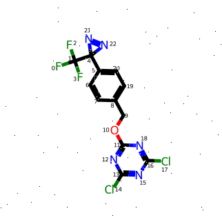 FC(F)(F)C1(c2ccc(COc3nc(Cl)nc(Cl)n3)cc2)N=N1